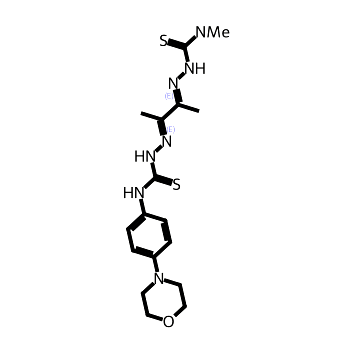 CNC(=S)N/N=C(C)/C(C)=N/NC(=S)Nc1ccc(N2CCOCC2)cc1